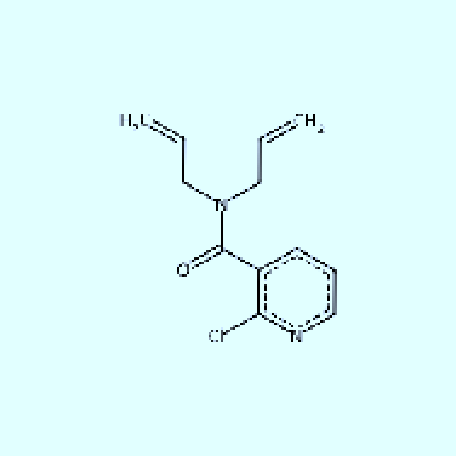 C=CCN(CC=C)C(=O)c1cccnc1Cl